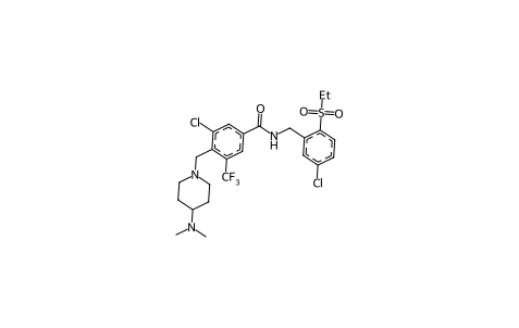 CCS(=O)(=O)c1ccc(Cl)cc1CNC(=O)c1cc(Cl)c(CN2CCC(N(C)C)CC2)c(C(F)(F)F)c1